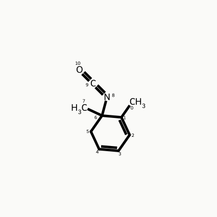 CC1=CC=CCC1(C)N=C=O